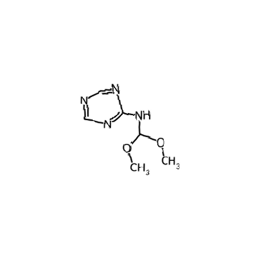 COC(Nc1ncncn1)OC